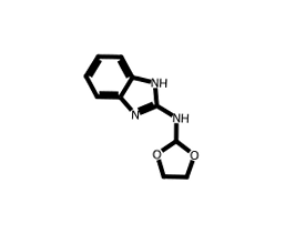 c1ccc2[nH]c(NC3OCCO3)nc2c1